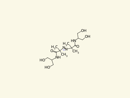 CC(C)(/N=N/C(C)(C)C(=O)NC(CO)CO)C(=O)NC(CO)CO